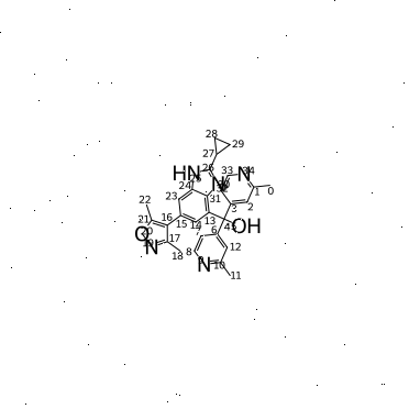 Cc1cc(C(O)(c2ccnc(C)c2)c2cc(-c3c(C)noc3C)cc3[nH]c(C4CC4)nc23)ccn1